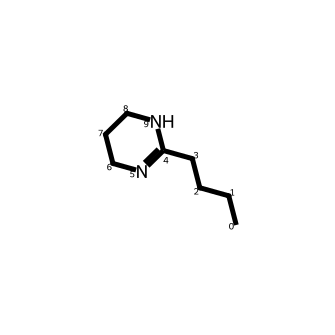 CCCCC1=NCCCN1